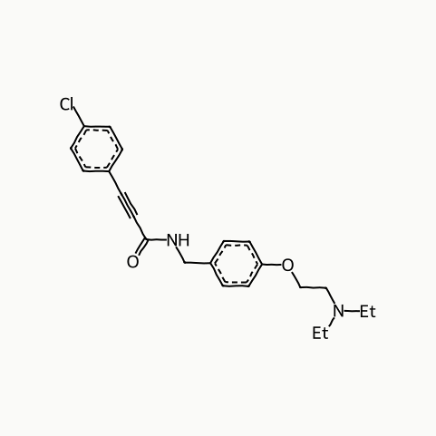 CCN(CC)CCOc1ccc(CNC(=O)C#Cc2ccc(Cl)cc2)cc1